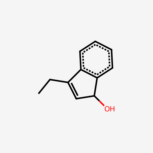 CCC1=CC(O)c2ccccc21